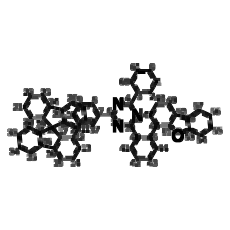 c1ccc(-c2nc(-c3cccc(-c4cccc5c4C4(c6ccccc6-c6ccccc64)c4ccccc4-5)c3)nc(-c3ccccc3-c3cccc4c3oc3ccccc34)n2)cc1